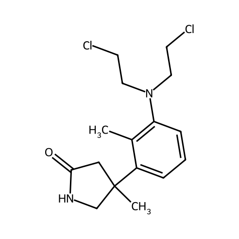 Cc1c(N(CCCl)CCCl)cccc1C1(C)CNC(=O)C1